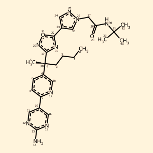 CCCC[C@](C)(c1ccc(-c2cnc(N)nc2)nc1)c1noc(-c2cnn(CC(=O)NC(C)(C)C)c2)n1